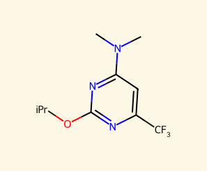 CC(C)Oc1nc(N(C)C)cc(C(F)(F)F)n1